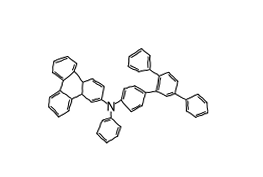 C1=CC2c3ccccc3-c3ccccc3C2C=C1N(c1ccccc1)c1ccc(-c2cc(-c3ccccc3)ccc2-c2ccccc2)cc1